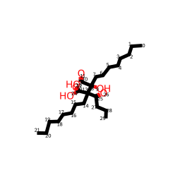 CCCCCCCCC(O)(C(=O)O)C(CCCCCCCC)(C(=O)O)C(=O)CCC